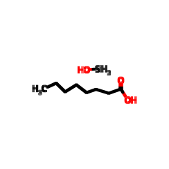 CCCCCCCC(=O)O.O[SiH3]